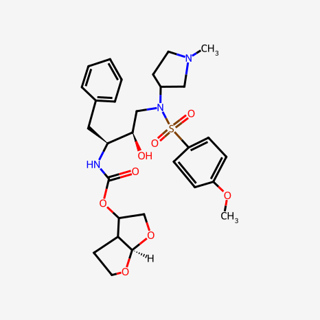 COc1ccc(S(=O)(=O)N(C[C@@H](O)[C@H](Cc2ccccc2)NC(=O)OC2CO[C@H]3OCCC23)C2CCN(C)C2)cc1